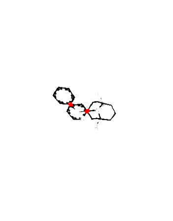 c1ccc(O[C@@H]2C[C@H]3CCC[C@@H](C2)N3c2ccccn2)cc1